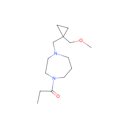 CCC(=O)N1CCCN(CC2(COC)CC2)CC1